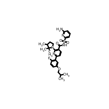 CC(C)COc1ccc(F)c(-c2ccc(C(=O)NS(=O)(=O)c3cccc(N)n3)c(N3CCC(C)C3(C)C)n2)c1